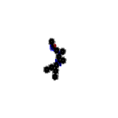 c1ccc(-c2ccc(-c3cc4nc(-c5ccccc5)c(-c5ccc(N(c6ccccc6)c6ccc(-c7nnc(-c8ccccc8)o7)cc6)cc5)nc4cc3-c3ccc(-c4ccccc4)cc3)cc2)cc1